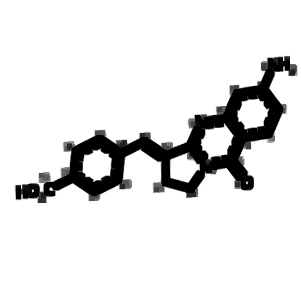 Nc1ccc2c(=O)n3c(nc2c1)/C(=C/c1ccc(C(=O)O)cc1)CC3